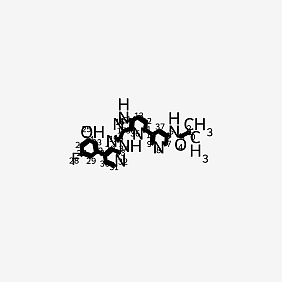 CC(C)C(=O)Nc1cncc(-c2ccc3[nH]nc(-c4nc5c(-c6cc(O)cc(F)c6)ccnc5[nH]4)c3n2)c1